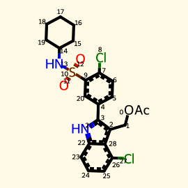 CC(=O)OCc1c(-c2ccc(Cl)c(S(=O)(=O)NC3CCCCC3)c2)[nH]c2cccc(Cl)c12